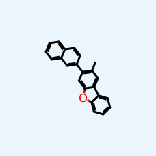 Cc1cc2c(cc1-c1ccc3ccccc3c1)oc1ccccc12